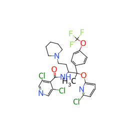 CC(Oc1cccc(Cl)n1)(c1ccc(OC(F)(F)F)cc1)C(CCN1CCCCC1)NC(=O)c1c(Cl)cncc1Cl